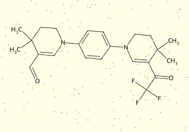 CC1(C)CCN(c2ccc(N3C=C(C(=O)C(F)(F)F)C(C)(C)CC3)cc2)C=C1C=O